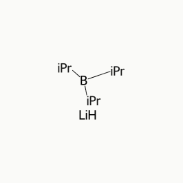 CC(C)B(C(C)C)C(C)C.[LiH]